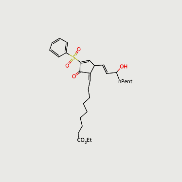 CCCCCC(O)C=CC1C=C(S(=O)(=O)c2ccccc2)C(=O)C1=CCCCCCCCC(=O)OCC